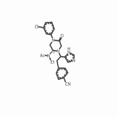 CCN(C(C)=O)[C@H]1CN(c2cccc(Cl)c2)C(=O)CN1C(Cc1ccc(C#N)cc1)c1cnc[nH]1